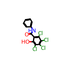 O=C(Nc1ccccc1)c1c(O)c(Cl)c(Cl)c(Cl)c1Cl